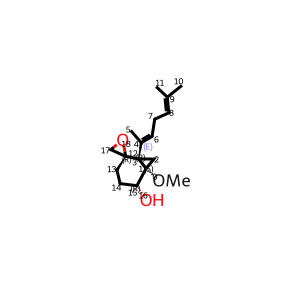 CO[C@@]12C[C@@]1(/C(C)=C/CC=C(C)C)[C@]1(CC[C@H]2O)CO1